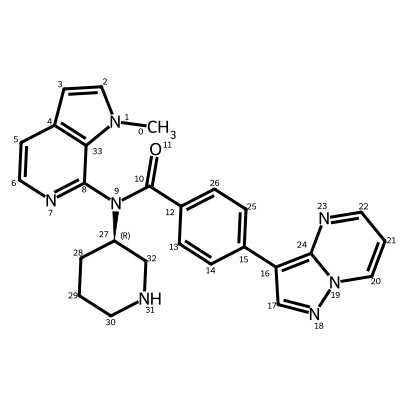 Cn1ccc2ccnc(N(C(=O)c3ccc(-c4cnn5cccnc45)cc3)[C@@H]3CCCNC3)c21